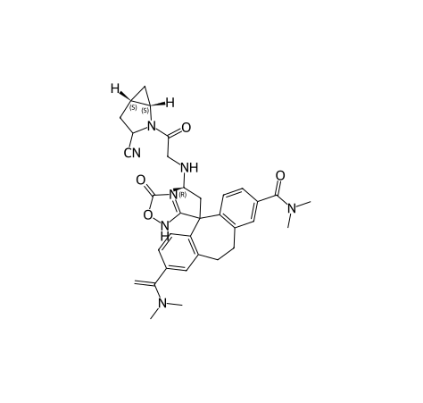 C=C(c1ccc2c(c1)CCc1cc(C(=O)N(C)C)ccc1C2(C[C@@H](C)NCC(=O)N1C(C#N)C[C@@H]2C[C@@H]21)c1nc(=O)o[nH]1)N(C)C